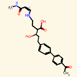 CNC(=O)/C=C\NCCC(C(=O)O)C(O)CCc1ccc(-c2ccc(C(C)=O)cc2)cc1